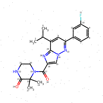 CC(C)c1cc(-c2cccc(F)c2)nn2cc(C(=O)N3CCNC(=O)C3(C)C)nc12